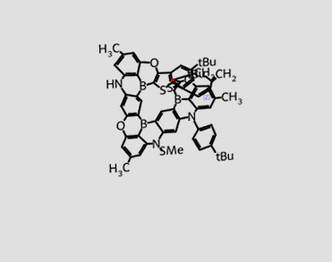 C=C(/C=C\c1sc2c(c1C)Oc1cc(C)cc3c1B2c1cc2c(cc1N3c1ccc(C(C)(C)C)cc1)N(SC)c1cc(C)cc3c1B2c1cc2c(cc1O3)Nc1cc(C)cc3c1B2c1sc2ccc(C(C)(C)C)cc2c1O3)C(C)(C)C